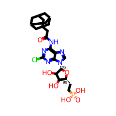 O=C(CC12CC3CC(CC(C3)C1)C2)Nc1nc(Cl)nc2c1ncn2[C@@H]1O[C@H](CCP(=O)(O)O)C(O)C1O